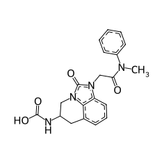 CN(C(=O)Cn1c(=O)n2c3c(cccc31)CC(NC(=O)O)C2)c1ccccc1